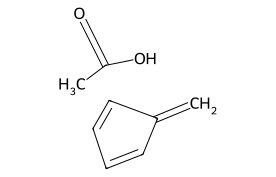 C=C1C=CC=C1.CC(=O)O